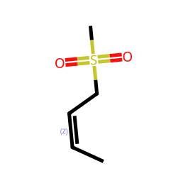 C/C=C\CS(C)(=O)=O